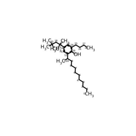 CCCCCCCCCCC(C)c1cc(C(C)(C)CC(C)(C)C)cc(CCCC)c1O